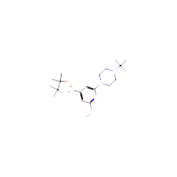 COc1cc(B2OC(C)(C)C(C)(C)O2)cc(N2CCN(C(C)(C)C)CC2)n1